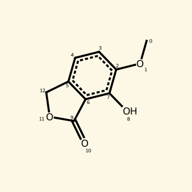 COc1ccc2c(c1O)C(=O)OC2